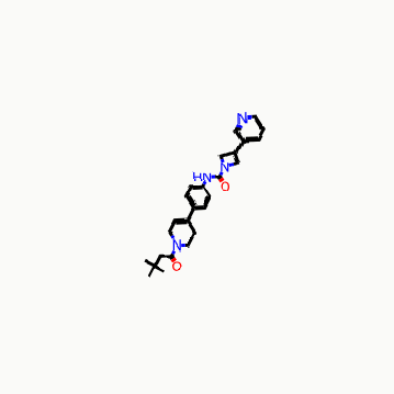 CC(C)(C)CC(=O)N1CC=C(c2ccc(NC(=O)N3CC(c4cccnc4)C3)cc2)CC1